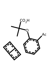 CC(=O)c1ccccc1OC(C)(C)C(=O)O.c1cc2ccc1-2